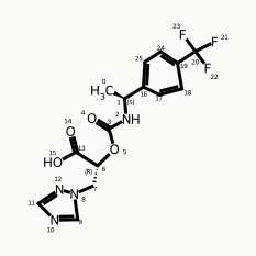 C[C@H](NC(=O)O[C@H](Cn1cncn1)C(=O)O)c1ccc(C(F)(F)F)cc1